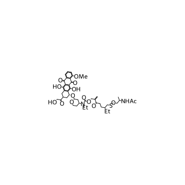 C=C(COC(=O)N(CC)[C@H]1CCOC(O[C@@H]2CC(C(=O)CO)Cc3c(O)c4c(c(O)c32)C(=O)c2c(OC)cccc2C4=O)C1)C(=O)CCC(CC)CSOCC(C)NC(C)=O